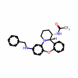 O=C(N[C@H]1CCCN2c3cc(NCc4ccccc4)ccc3Oc3ccccc3[C@@H]12)C(F)(F)F